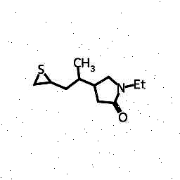 CCN1CC(C(C)CC2CS2)CC1=O